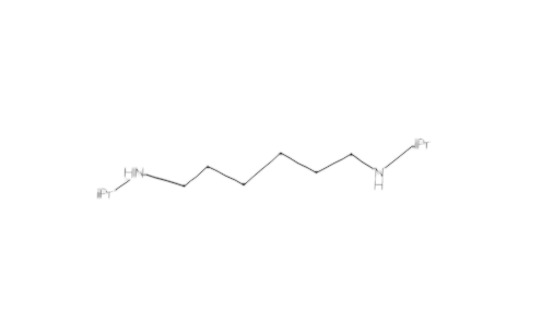 CC(C)NCCCCCCNC(C)C